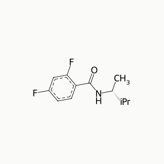 CC(C)[C@@H](C)NC(=O)c1ccc(F)cc1F